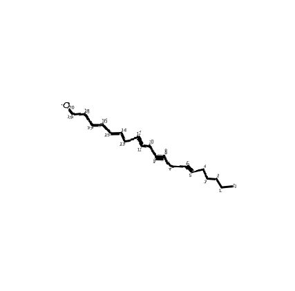 CCCCCC=CCC=CCC=CCC=CCCCC[O]